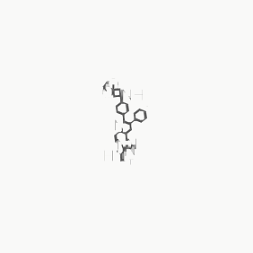 CCNc1nnc2c3cc(-c4ccccc4)c(-c4ccc(C5(N)CC6(C5)OCCO6)cc4)nc3ccn12